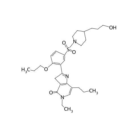 CCCOc1ccc(S(=O)(=O)N2CCC(CCCO)CC2)cc1C1=Nc2c(CCC)cn(CC)c(=O)c2C1